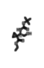 CCOC(=O)C1([C@H](CO)NC(=O)OC(C)(C)C)CC1